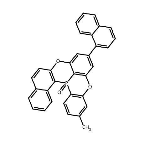 Cc1ccc2c(c1)Oc1cc(-c3cccc4ccccc34)cc3c1P2(=O)c1c(ccc2ccccc12)O3